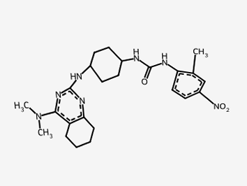 Cc1cc([N+](=O)[O-])ccc1NC(=O)NC1CCC(Nc2nc3c(c(N(C)C)n2)CCCC3)CC1